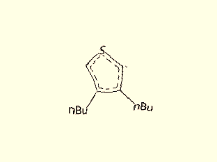 CCCCc1[c]scc1CCCC